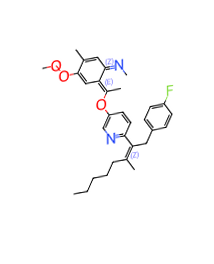 CCCCC/C(C)=C(/Cc1ccc(F)cc1)c1ccc(O/C(C)=C2\C=C(OOC)C(C)=C\C2=N\C)cn1